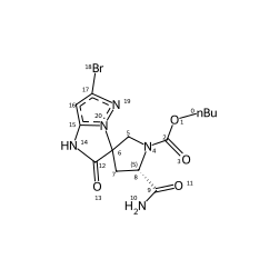 CCCCOC(=O)N1CC2(C[C@H]1C(N)=O)C(=O)Nc1cc(Br)nn12